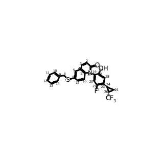 O=c1ccc2cc(SCc3ccccc3)ccc2n1-c1cc(F)c([C@H]2C[C@@H]2C(F)(F)F)cc1O